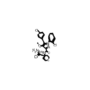 COc1c(C(=O)NC2(C(N)=O)CCSCC2)nn(-c2ccccc2Cl)c1-c1ccc(Cl)cc1